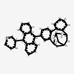 c1cncc(-c2c3ccccc3c(-c3ccc4c(c3)C3CC5CC(CC(C5)c5ccccc5-4)C3)c3ccccc23)c1